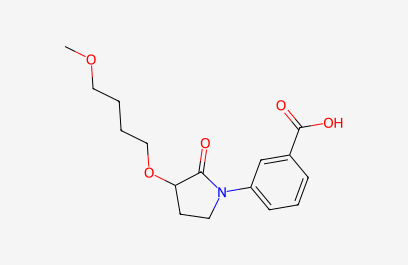 COCCCCOC1CCN(c2cccc(C(=O)O)c2)C1=O